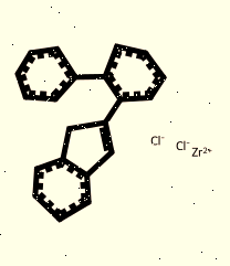 C1=C(c2ccccc2-c2ccccc2)Cc2ccccc21.[Cl-].[Cl-].[Zr+2]